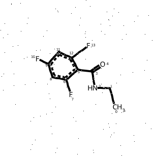 CCNC(=O)c1c(F)cc(F)cc1F